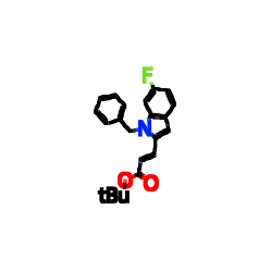 CC(C)(C)OC(=O)/C=C/c1cc2ccc(F)cc2n1Cc1ccccc1